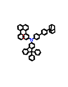 c1ccc(-c2cccc3cccc(-c4cccc(N(c5ccc(-c6ccc(C78CC9CC(CC(C9)C7)C8)cc6)cc5)c5ccc6c(c5)-c5ccccc5C6(c5ccccc5)c5ccccc5)c4)c23)cc1